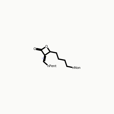 CCCCC/C=C1/C(=O)OC1CCCCCCCCCCCCC